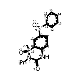 CC(C)N1C(=O)Nc2ccc([S+]([O-])c3ccccn3)cc2P1(C)=O